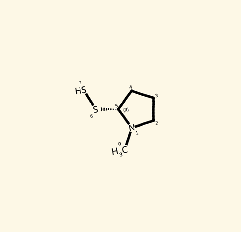 CN1CCC[C@H]1SS